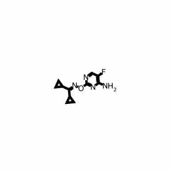 Nc1nc(ON=C(C2CC2)C2CC2)ncc1F